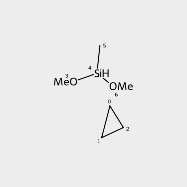 C1CC1.CO[SiH](C)OC